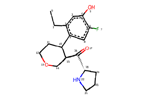 CCc1cc(O)c(F)cc1C1[CH]COCC1C(=O)[C@@H]1CCCN1